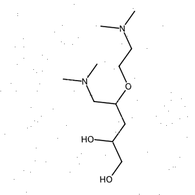 CN(C)CCOC(CC(O)CO)CN(C)C